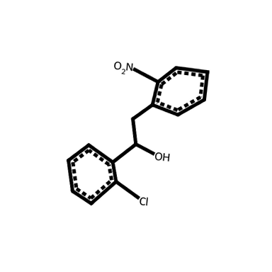 O=[N+]([O-])c1ccccc1CC(O)c1ccccc1Cl